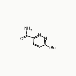 CC(C)(C)c1ccc(C(N)=O)nn1